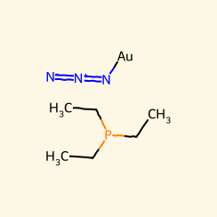 CCP(CC)CC.[N-]=[N+]=[N][Au]